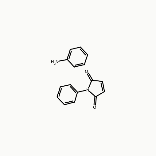 Nc1ccccc1.O=C1C=CC(=O)N1c1ccccc1